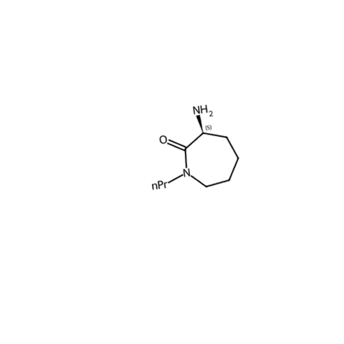 CCCN1CCCC[C@H](N)C1=O